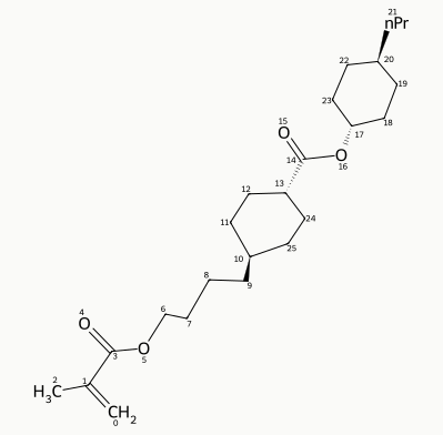 C=C(C)C(=O)OCCCC[C@H]1CC[C@H](C(=O)O[C@H]2CC[C@H](CCC)CC2)CC1